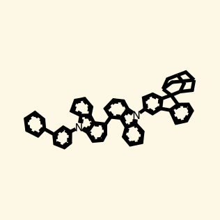 c1ccc(-c2cccc(-n3c4ccccc4c4c(-c5cccc6c5c5ccccc5n6-c5ccc6c(c5)-c5ccccc5C65C6CC7CC(C6)CC5C7)cccc43)c2)cc1